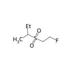 CCC(C)S(=O)(=O)CCF